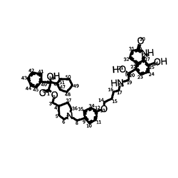 O=C(OCC1CCN(Cc2ccc(OCCCCNC[C@H](O)c3ccc(O)c4[nH]c(=O)ccc34)cc2)CC1)C(O)(c1ccccc1)C1CCCCC1